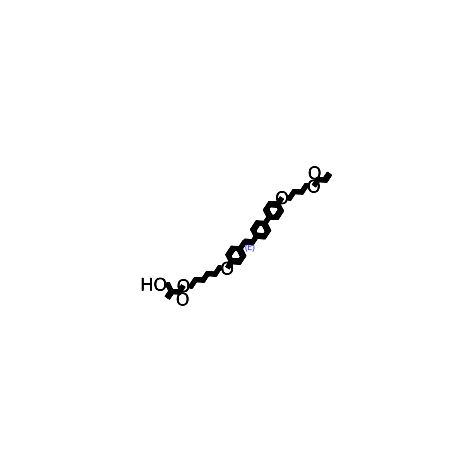 C=CC(=O)OCCCCOc1ccc(-c2ccc(/C=C/c3ccc(OCCCCCCOC(=O)C(=C)CO)cc3)cc2)cc1